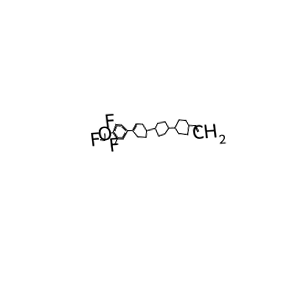 C=CC1CCC(C2CCC(C3CC=C(c4cc(F)c(OCF)c(F)c4)CC3)CC2)CC1